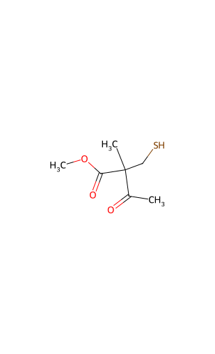 COC(=O)C(C)(CS)C(C)=O